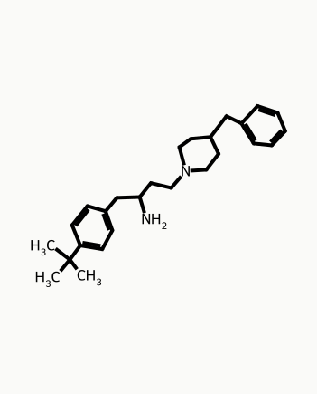 CC(C)(C)c1ccc(CC(N)CCN2CCC(Cc3ccccc3)CC2)cc1